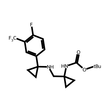 CC(C)(C)OC(=O)NC1(CNC2(c3ccc(F)c(C(F)(F)F)c3)CC2)CC1